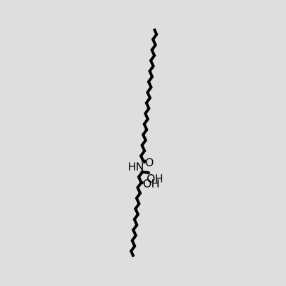 CCCCCCCCCCCCCCCCCCCCCCCCCC(=O)NC(CO)CC(O)CCCCCCCCCCCCCC